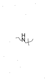 CCCNCC(C)(C)CC